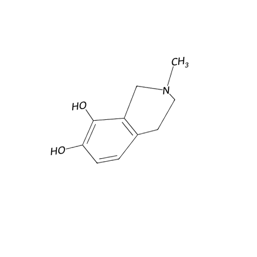 CN1CCc2ccc(O)c(O)c2C1